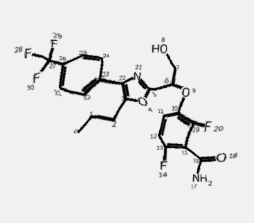 CCCc1oc(C(CO)Oc2ccc(F)c(C(N)=O)c2F)nc1-c1ccc(C(F)(F)F)cc1